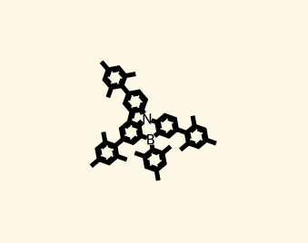 Cc1cc(C)c(B2c3cc(-c4c(C)cc(C)cc4C)ccc3-n3c4ccc(-c5c(C)cc(C)cc5C)cc4c4cc(-c5c(C)cc(C)cc5C)cc2c43)c(C)c1